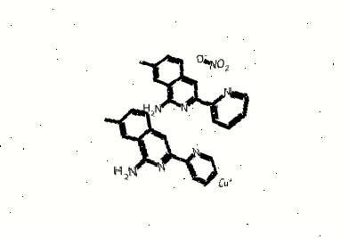 Cc1ccc2cc(-c3ccccn3)nc(N)c2c1.Cc1ccc2cc(-c3ccccn3)nc(N)c2c1.O=[N+]([O-])[O-].[Cu+]